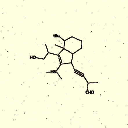 CC(C#CC1C([SiH](C)C)=C(C(C)CO)C2(C)C1CCCC2C(C)(C)C)C=O